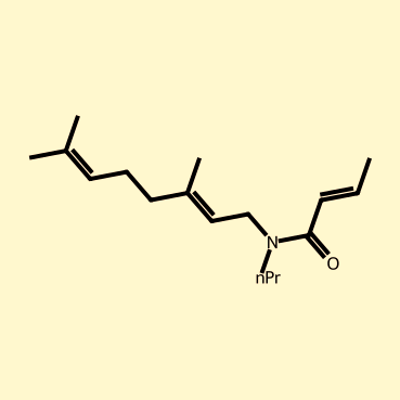 C/C=C/C(=O)N(C/C=C(\C)CCC=C(C)C)CCC